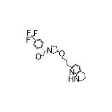 O=C[C@H](c1ccc(C(F)(F)F)cc1)N1CC[C@@H](OCCCc2ccc3c(n2)NCCC3)C1